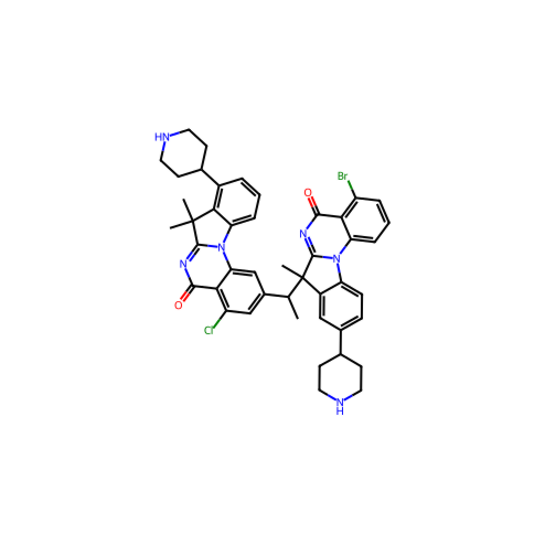 CC(c1cc(Cl)c2c(=O)nc3n(c2c1)-c1cccc(C2CCNCC2)c1C3(C)C)C1(C)c2cc(C3CCNCC3)ccc2-n2c1nc(=O)c1c(Br)cccc12